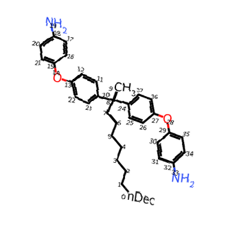 CCCCCCCCCCCCCCCCCC(C)(c1ccc(Oc2ccc(N)cc2)cc1)c1ccc(Oc2ccc(N)cc2)cc1